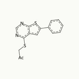 CC(=O)CSc1ncnc2sc(-c3ccccc3)cc12